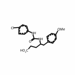 COc1ccc(CC(CCC(=O)O)NC(=O)Nc2ccc(Cl)cc2)cc1